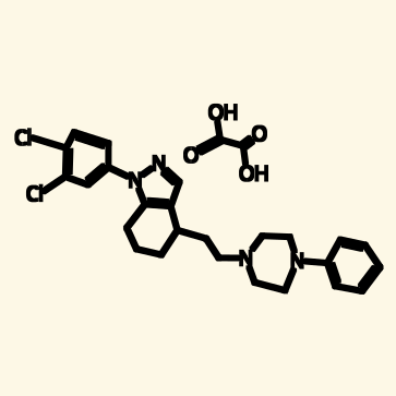 Clc1ccc(-n2ncc3c2CCCC3CCN2CCN(c3ccccc3)CC2)cc1Cl.O=C(O)C(=O)O